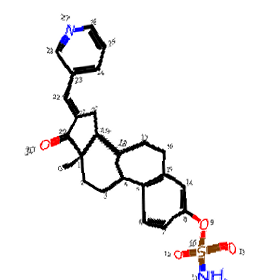 C[C@]12CCC3c4ccc(OS(N)(=O)=O)cc4CCC3C1C/C(=C\c1cccnc1)C2=O